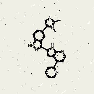 Cc1ncc(-c2ccc3[nH]nc(-c4cc5c(-c6ccccn6)ccnc5[nH]4)c3c2)n1C